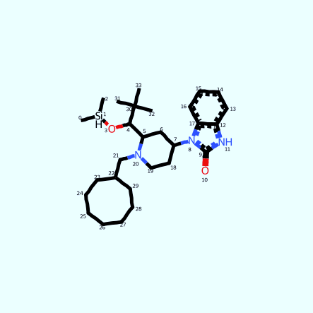 C[SiH](C)OC(C1CC(n2c(=O)[nH]c3ccccc32)CCN1CC1CCCCCCC1)C(C)(C)C